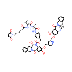 COc1cc2c(cc1OCc1ccnc(COc3cc4c(cc3OC)C(=O)N3Cc5ccccc5C[C@H]3C=N4)c1)N(C(=O)OCc1ccc(NC(=O)[C@H](C)NC(=O)[C@@H](NC(=O)CCCCCN3C(=O)C=CC3=O)C(C)C)cc1)C(O)C1Cc3ccccc3CN1C2=O